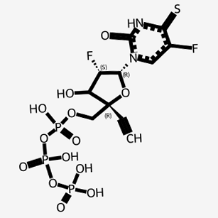 C#C[C@]1(COP(=O)(O)OP(=O)(O)OP(=O)(O)O)O[C@@H](n2cc(F)c(=S)[nH]c2=O)[C@@H](F)C1O